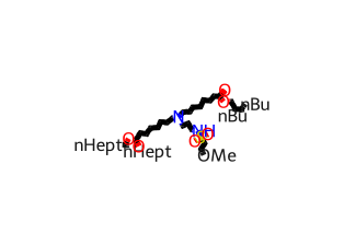 CCCCCCCC(CCCCCCC)OC(=O)CCCCCCCN(CCCCCCCC(=O)OCCC(CCCC)CCCC)CCCNS(=O)(=O)CCOC